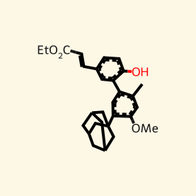 CCOC(=O)C=Cc1ccc(O)c(-c2cc(C34CC5CC(CC(C5)C3)C4)c(OC)cc2C)c1